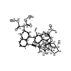 CC(C)[Si](C#Cc1cccc2nc(N(C(=O)OC(C)(C)C)C(=O)OC(C)(C)C)cc(-c3nc4c5c(nc([S+](C)[O-])nc5c3F)N3C[C@H]5CC[C@@H]([C@H]3[C@H](C)O4)N5C(=O)OC(C)(C)C)c12)(C(C)C)C(C)C